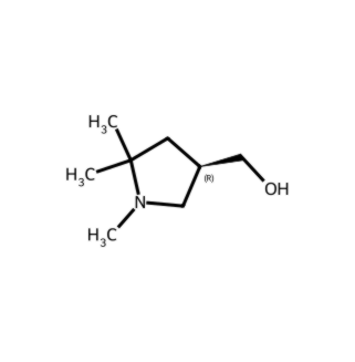 CN1C[C@H](CO)CC1(C)C